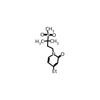 CCc1ccn(CCC(C)(C)S(C)(=O)=O)c(=O)c1